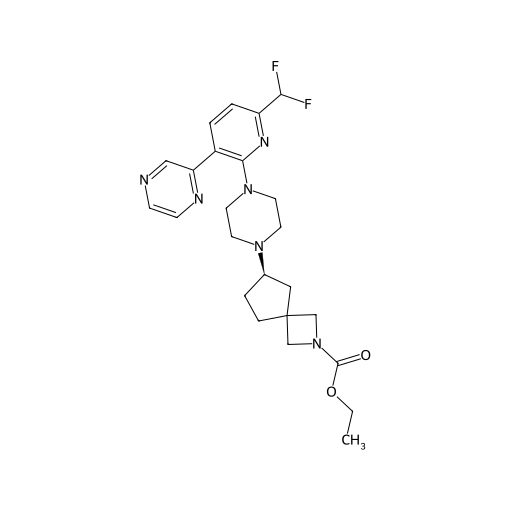 CCOC(=O)N1CC2(CC[C@@H](N3CCN(c4nc(C(F)F)ccc4-c4cnccn4)CC3)C2)C1